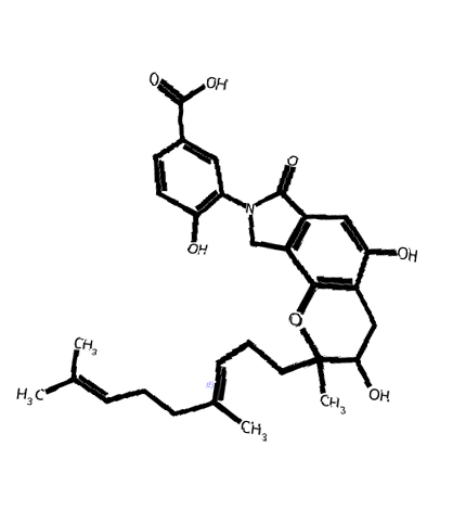 CC(C)=CCC/C(C)=C/CCC1(C)Oc2c(c(O)cc3c2CN(c2cc(C(=O)O)ccc2O)C3=O)CC1O